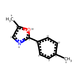 Cc1ccc(-c2ncc(C)o2)cc1